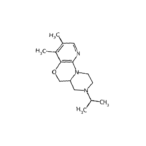 Cc1cnc2c(c1C)OCC1CN(C(C)C)CCN21